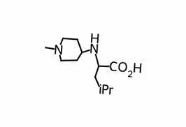 CC(C)CC(NC1CCN(C)CC1)C(=O)O